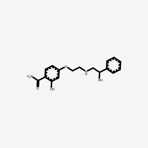 NC(=O)c1ccc(OCCNCC(O)c2ccccc2)cc1O